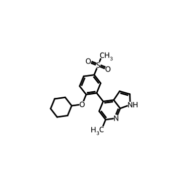 Cc1cc(-c2cc(S(C)(=O)=O)ccc2OC2CCCCC2)c2cc[nH]c2n1